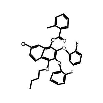 CCCCOc1c(Oc2ccccc2F)c(Oc2ccccc2F)c(OC(=O)c2ccccc2C)c2cc(Cl)ccc12